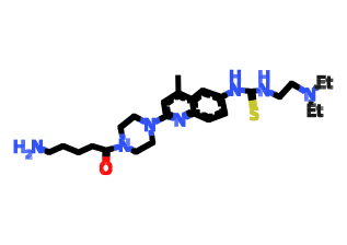 CCN(CC)CCNC(=S)Nc1ccc2nc(N3CCN(C(=O)CCCCN)CC3)cc(C)c2c1